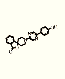 O=C1OC2(CCN(c3cnc(-c4ccc(O)cc4)cn3)CC2)c2ccccc21